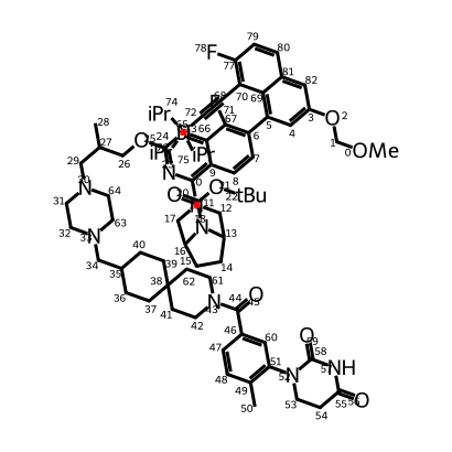 COCOc1cc(-c2ccc3c(N4CC5CCC(C4)N5C(=O)OC(C)(C)C)nc(OCC(C)CN4CCN(CC5CCC6(CC5)CCN(C(=O)c5ccc(C)c(N7CCC(=O)NC7=O)c5)CC6)CC4)nc3c2F)c2c(C#C[Si](C(C)C)(C(C)C)C(C)C)c(F)ccc2c1